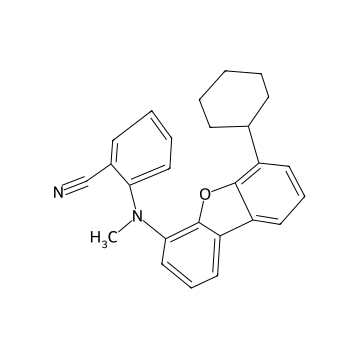 CN(c1ccccc1C#N)c1cccc2c1oc1c(C3CCCCC3)cccc12